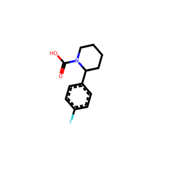 O=C(O)N1CCCCC1c1ccc(F)cc1